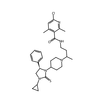 Cc1cc(Cl)nc(C)c1C(=O)NCCC(C)N1CCC(N2C(=S)N(C3CC3)C[C@H]2c2ccccc2)CC1